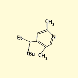 CCC(c1cc(C)ncc1C)C(C)(C)C